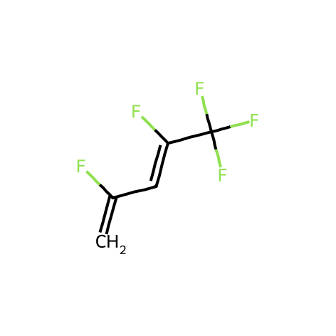 C=C(F)C=C(F)C(F)(F)F